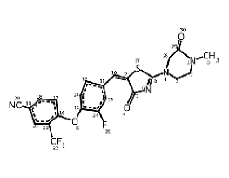 CN1CCN(C2=NC(=O)/C(=C\c3ccc(Oc4ccc(C#N)cc4C(F)(F)F)c(F)c3)S2)CC1=O